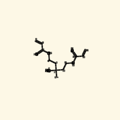 [CH2]C(O)(CCOC(=O)C=C)CCOC(=O)C=C